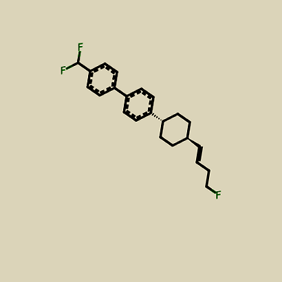 FCCC=C[C@H]1CC[C@H](c2ccc(-c3ccc(C(F)F)cc3)cc2)CC1